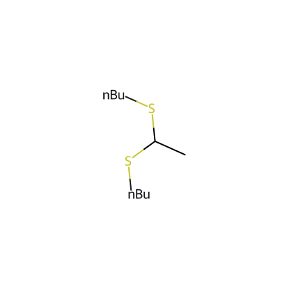 CCCCSC(C)SCCCC